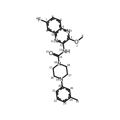 COc1nc2ccc(F)cc2nc1NC(=O)N1CCN(c2cccc(C)c2)CC1